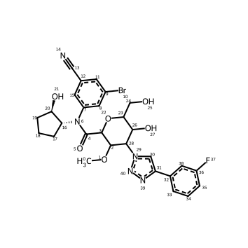 COC1C(C(=O)N(c2cc(Br)cc(C#N)c2)[C@@H]2CCC[C@H]2O)OC(CO)C(O)C1n1cc(-c2cccc(F)c2)nn1